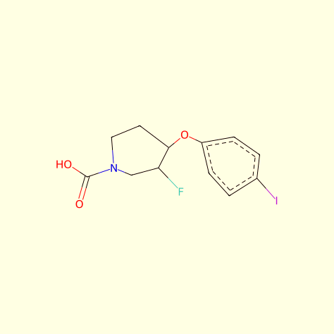 O=C(O)N1CCC(Oc2ccc(I)cc2)C(F)C1